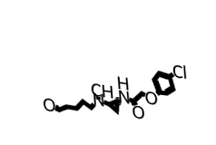 CN(CCCCC=O)C1CC1NC(=O)COc1ccc(Cl)cc1